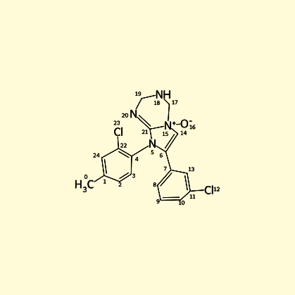 Cc1ccc(N2C(c3cccc(Cl)c3)=C[N+]3([O-])CNCN=C23)c(Cl)c1